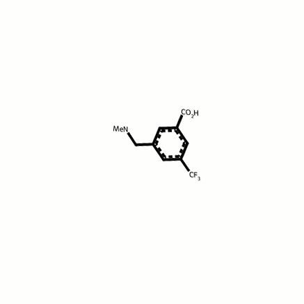 CNCc1cc(C(=O)O)cc(C(F)(F)F)c1